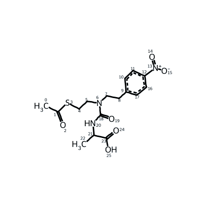 CC(=O)SCCN(CCc1ccc([N+](=O)[O-])cc1)C(=O)NC(C)C(=O)O